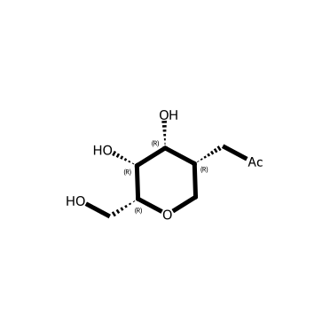 CC(=O)C[C@@H]1CO[C@H](CO)[C@H](O)[C@@H]1O